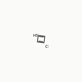 C1=C[SiH]=C1.[C]